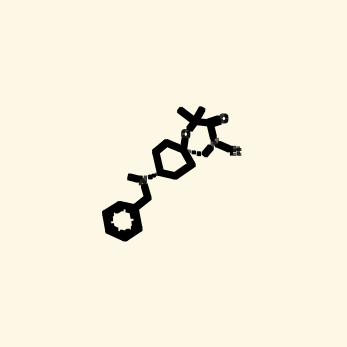 CCN1C[C@]2(CC[C@@H](N(C)Cc3ccccc3)CC2)OC(C)(C)C1=O